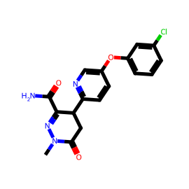 CN1N=C(C(N)=O)C(c2ccc(Oc3cccc(Cl)c3)cn2)CC1=O